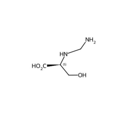 NCN[C@@H](CO)C(=O)O